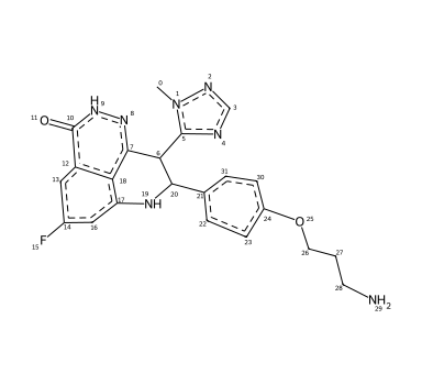 Cn1ncnc1C1c2n[nH]c(=O)c3cc(F)cc(c23)NC1c1ccc(OCCCN)cc1